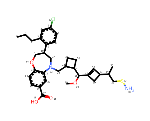 CCCc1cc(Cl)ccc1C1COc2ccc(C(=O)O)cc2N(CC2CCC2C(OC)C2=CC(C(C)CSN)C2)C1